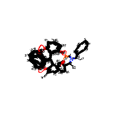 C[C@@H](c1ccccc1)N(CP1OCc2cccc3c2[C@]2(c4ccccc4O3)c3ccccc3Oc3cccc(c32)O1)[C@@H](C)c1ccccc1